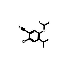 CC(C)c1cc(Cl)c(C#N)cc1OC(F)F